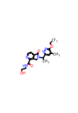 Cc1cc(C(C)N2Cc3c(ccnc3C(=O)NCCO)C2=O)nnc1OCC(F)(F)F